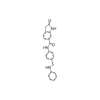 O=C1Cc2ccc(C(=O)Nc3ccc(SNc4ccccc4)cc3)cc2N1